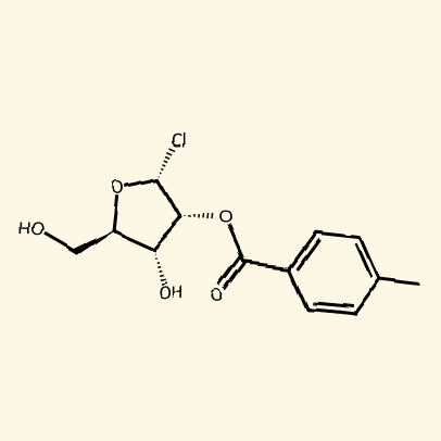 Cc1ccc(C(=O)O[C@@H]2[C@H](O)[C@@H](CO)O[C@@H]2Cl)cc1